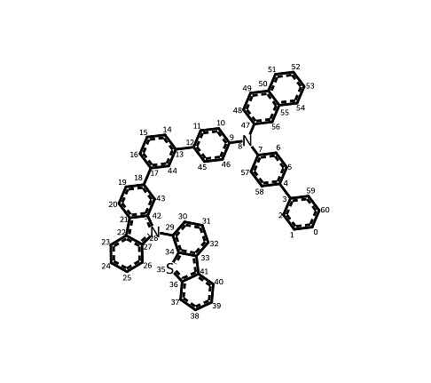 c1ccc(-c2ccc(N(c3ccc(-c4cccc(-c5ccc6c7ccccc7n(-c7cccc8c7sc7ccccc78)c6c5)c4)cc3)c3ccc4ccccc4c3)cc2)cc1